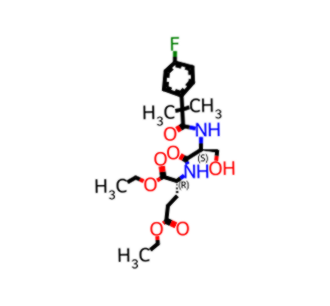 CCOC(=O)CC[C@@H](NC(=O)[C@H](CO)NC(=O)C(C)(C)c1ccc(F)cc1)C(=O)OCC